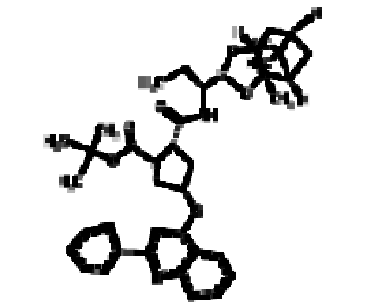 CC[C@H](NC(=O)[C@@H]1C[C@@H](Oc2cc(-c3ccccc3)nc3ccccc23)CN1C(=O)OC(C)(C)C)B1O[C@@H]2C[C@@H]3C[C@@H](C3(C)C)[C@]2(C)O1